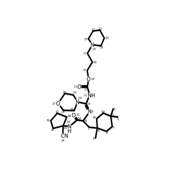 CC1(C)CCC(C)(CC(/N=C(/NC(=O)OCCCN2CCCCC2)N2CCOCC2)C(=O)NC2(C#N)CCCC2)CC1